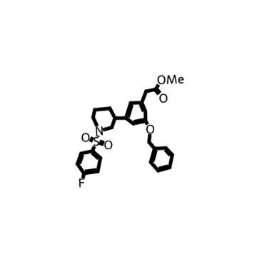 COC(=O)Cc1cc(OCc2ccccc2)cc(C2CCCN(S(=O)(=O)c3ccc(F)cc3)C2)c1